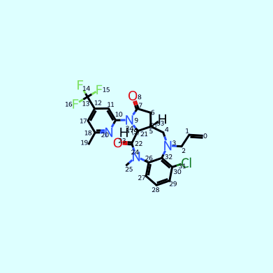 C=CCN1C[C@H]2CC(=O)N(c3cc(C(F)(F)F)cc(C)n3)[C@@H]2C(=O)N(C)c2cccc(Cl)c21